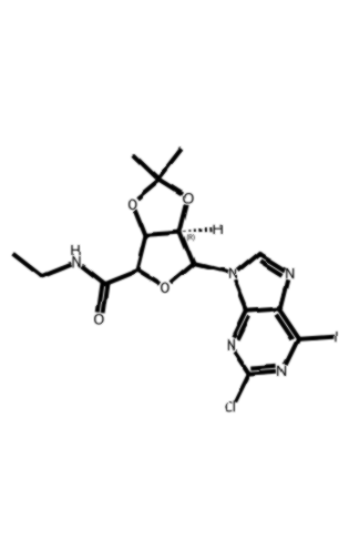 CCNC(=O)C1OC(n2cnc3c(I)nc(Cl)nc32)[C@@H]2OC(C)(C)OC12